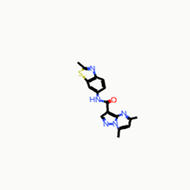 Cc1cc(C)n2ncc(C(=O)Nc3ccc4nc(C)sc4c3)c2n1